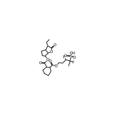 CCC1C(=O)OC2C(OC(=O)C3CCCCC3C(=O)OCCC(F)C(F)(F)S(=O)(=O)O)CCC12